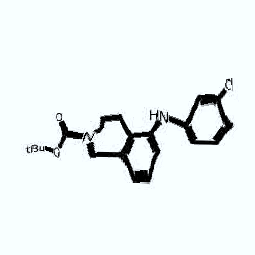 CC(C)(C)OC(=O)N1CCc2c(cccc2Nc2cccc(Cl)c2)C1